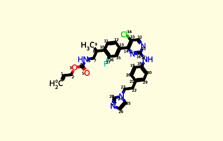 C=CCOC(=O)NCC(C)c1ccc(-c2nc(Nc3ccc(CCn4ccnc4)cc3)ncc2Cl)cc1F